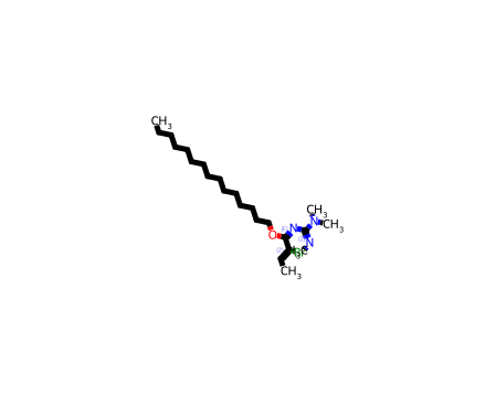 C/C=C(Br)/C(=N\C(=N/C)N(C)C)OCCCCCCCCCCCCCCC